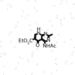 CCOC(=O)c1c[nH]c2nc(C)nc(NC(C)=O)c2c1=O